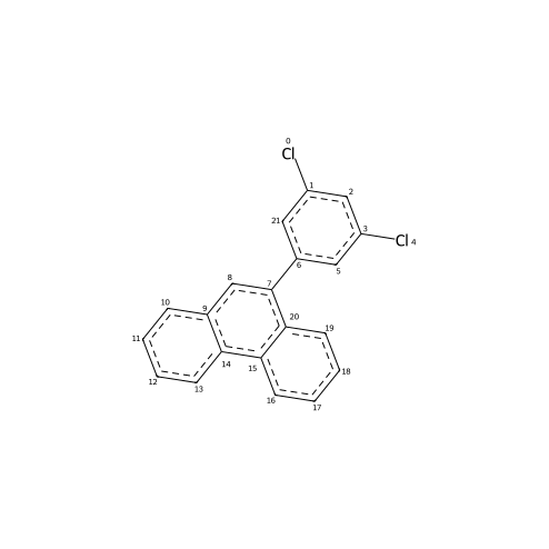 Clc1cc(Cl)cc(-c2cc3ccccc3c3ccccc23)c1